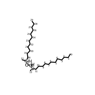 CCCCCCCCCCCC[SiH](C)OO[SiH](C)CCCCCCCCCCCC